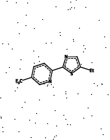 CCc1cnc(-c2ccc(C(F)(F)F)cn2)s1